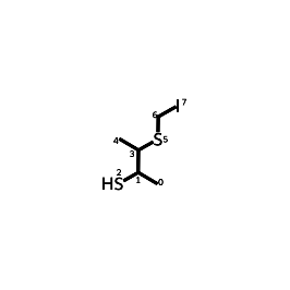 CC(S)C(C)SCI